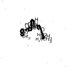 Cc1ccc2cccc(OCc3c(Cl)ccc(S(=O)(=O)N4CCC[C@H]4C(=O)NC4CCN(C(=O)CCNC(=O)OC(C)(C)C)CC4)c3Cl)c2n1